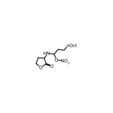 CCCCCCCCCCC(NC1CCOC1=O)O[N+](=O)[O-]